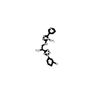 CC(CNc1nnc(-c2cccnc2)n1C)c1nnn(-c2cccc(Cl)c2)n1